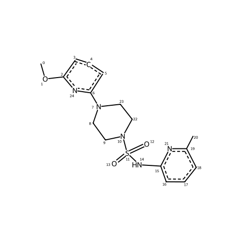 COc1cccc(N2CCN(S(=O)(=O)Nc3cccc(C)n3)CC2)n1